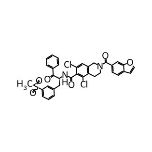 CS(=O)(=O)c1cccc(C[C@H](NC(=O)c2c(Cl)cc3c(c2Cl)CCN(C(=O)c2ccc4ccoc4c2)C3)C(=O)c2ccccc2)c1